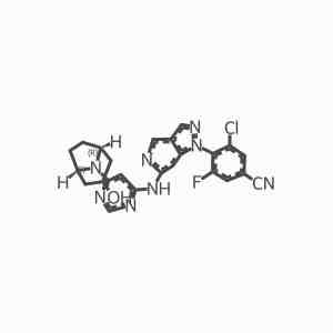 N#Cc1cc(F)c(-n2ncc3cnc(Nc4cc(N5[C@@H]6CC[C@H]5CC(O)C6)ncn4)cc32)c(Cl)c1